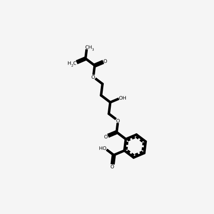 C=C(C)C(=O)OCCC(O)COC(=O)c1ccccc1C(=O)O